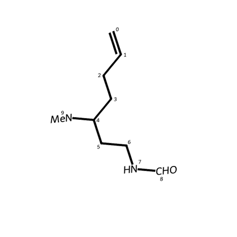 C=CCCC(CCNC=O)NC